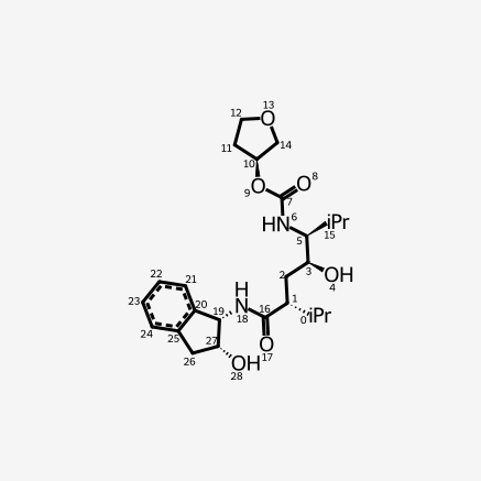 CC(C)[C@@H](C[C@H](O)[C@@H](NC(=O)O[C@H]1CCOC1)C(C)C)C(=O)N[C@H]1c2ccccc2C[C@H]1O